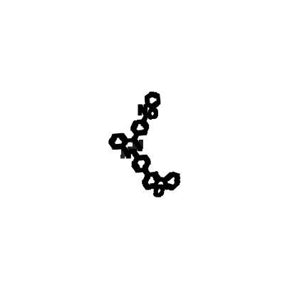 c1ccc2oc(-c3ccc(-c4nc(-c5ccc(-c6ccc7oc8ccccc8c7c6)cc5)nc5ccccc45)cc3)nc2c1